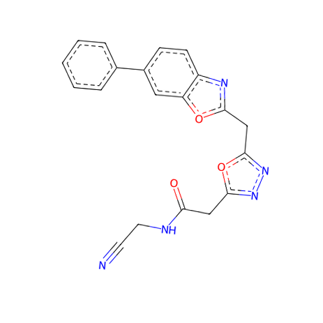 N#CCNC(=O)Cc1nnc(Cc2nc3ccc(-c4ccccc4)cc3o2)o1